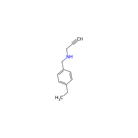 C#CCNCc1ccc(CC)cc1